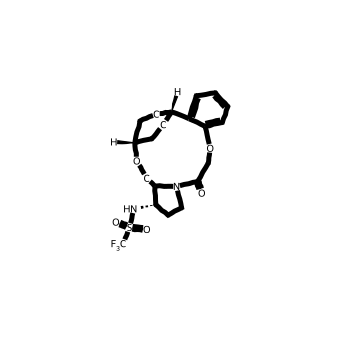 O=C1COc2ccccc2[C@H]2CC[C@H](CC2)OCC2[C@@H](NS(=O)(=O)C(F)(F)F)CCN12